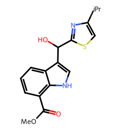 COC(=O)c1cccc2c(C(O)c3nc(C(C)C)cs3)c[nH]c12